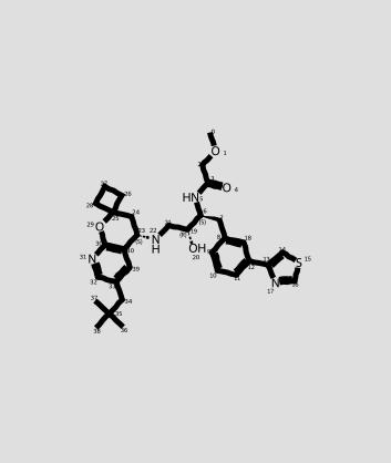 COCC(=O)N[C@@H](Cc1cccc(-c2cscn2)c1)[C@H](O)CN[C@H]1CC2(CCC2)Oc2ncc(CC(C)(C)C)cc21